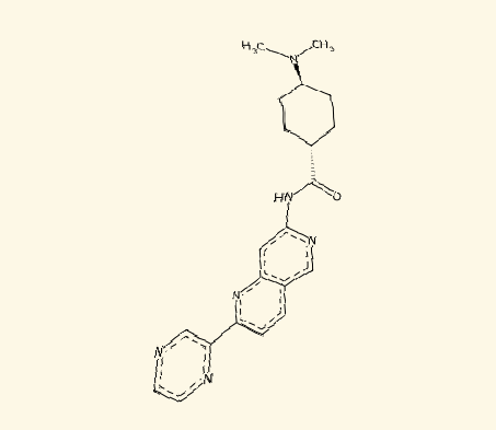 CN(C)[C@H]1CC[C@H](C(=O)Nc2cc3nc(-c4cnccn4)ccc3cn2)CC1